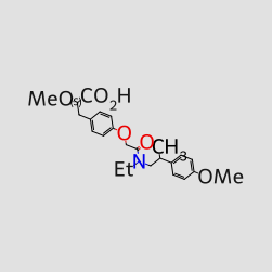 CCN(CC(C)c1ccc(OC)cc1)C(=O)COc1ccc(C[C@H](OC)C(=O)O)cc1